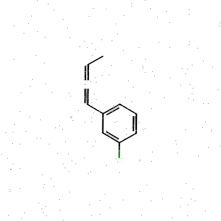 CC=C=Cc1cccc(Br)c1